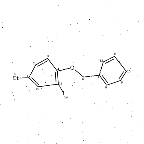 CCc1ccc(OCc2ccccc2)c(I)c1